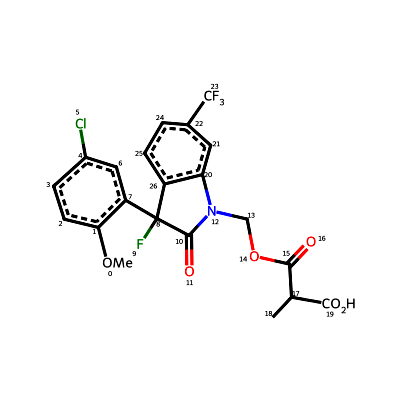 COc1ccc(Cl)cc1C1(F)C(=O)N(COC(=O)C(C)C(=O)O)c2cc(C(F)(F)F)ccc21